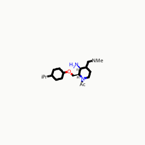 CNCC1CCN(C(C)=O)[C@@H](COC2CCC(C(C)C)CC2)[C@H]1N